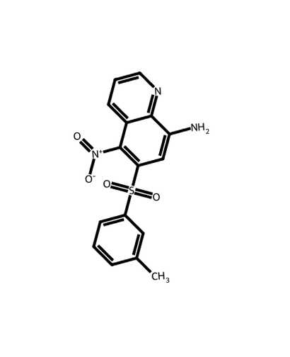 Cc1cccc(S(=O)(=O)c2cc(N)c3ncccc3c2[N+](=O)[O-])c1